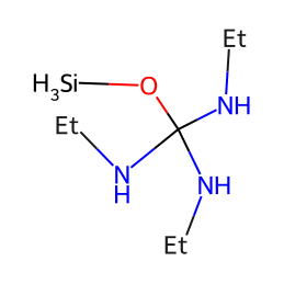 CCNC(NCC)(NCC)O[SiH3]